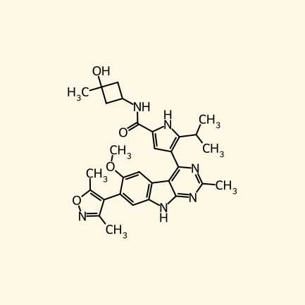 COc1cc2c(cc1-c1c(C)noc1C)[nH]c1nc(C)nc(-c3cc(C(=O)NC4CC(C)(O)C4)[nH]c3C(C)C)c12